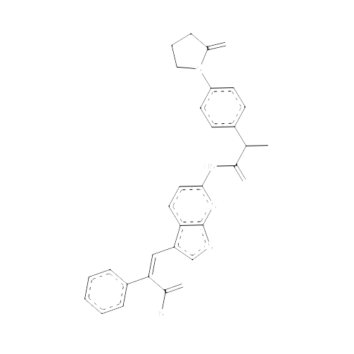 CC(C(=O)Nc1ccc2c(C=C(C(N)=O)c3ccccc3)c[nH]c2n1)c1ccc(N2CCCC2=O)cc1